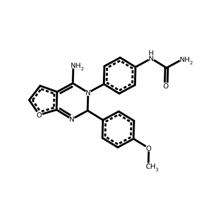 COc1ccc(C2N=c3occc3=C(N)N2c2ccc(NC(N)=O)cc2)cc1